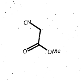 [C-]#[N+][CH]C(=O)OC